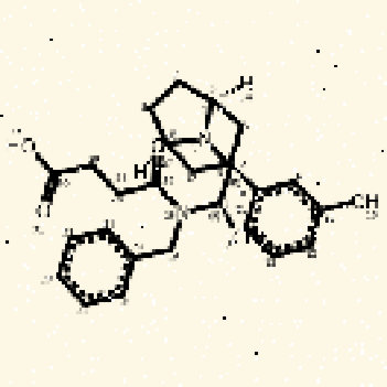 C[C@H](CN1[C@@H]2CC[C@H]1C[C@@H](c1cccc(O)c1)C2)N(Cc1ccccc1)C(=O)CCC(=O)O